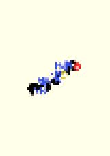 Cc1cccc(-c2nccc(Nc3ccnc(Nc4nc(C5COCCN5)cs4)n3)n2)n1